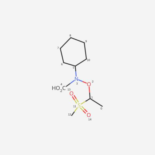 CC(ON(C(=O)O)C1CCCCC1)S(C)(=O)=O